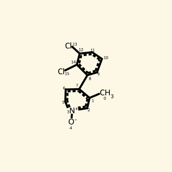 Cc1c[n+]([O-])ccc1-c1cccc(Cl)c1Cl